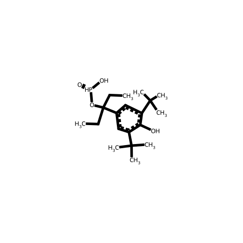 CCC(CC)(O[PH](=O)O)c1cc(C(C)(C)C)c(O)c(C(C)(C)C)c1